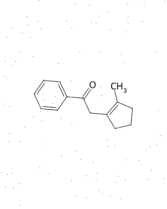 CC1=C(CC(=O)c2ccccc2)CCC1